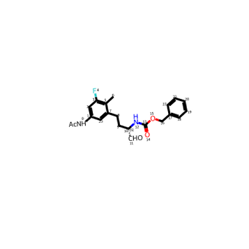 CC(=O)Nc1cc(F)c(C)c(CC[C@@H](C=O)NC(=O)OCc2ccccc2)c1